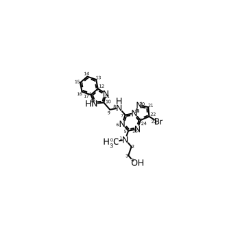 CN(CCO)c1nc(NCc2nc3ccccc3[nH]2)n2ncc(Br)c2n1